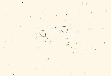 CCSC(C)(C)C(=O)CC(=O)Nc1cc(NC(=O)C(CC)Oc2ccc(C(C)(C)CC)cc2C(C)(C)CC)ccc1Cl